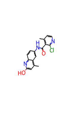 Cc1ccnc(Cl)c1C(=O)Nc1ccc2nc(O)cc(C)c2c1